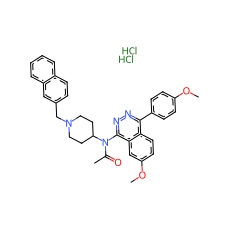 COc1ccc(-c2nnc(N(C(C)=O)C3CCN(Cc4ccc5ccccc5c4)CC3)c3cc(OC)ccc23)cc1.Cl.Cl